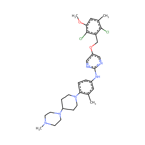 COc1cc(C)c(Cl)c(COc2cnc(Nc3ccc(N4CCC(N5CCN(C)CC5)CC4)c(C)c3)nc2)c1Cl